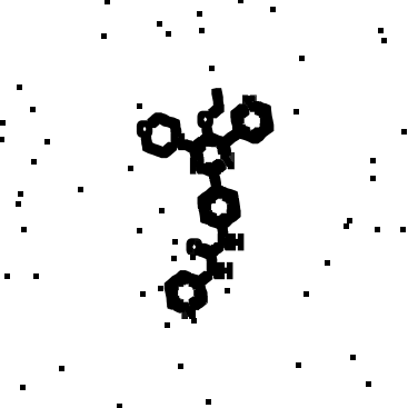 CCOc1c(-c2cccnc2)nc(-c2ccc(NC(=O)Nc3cccnc3)cc2)nc1N1CCOCC1